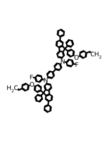 C=Cc1ccc(Oc2ccc(C3(c4ccccc4)c4cc(-c5ccccc5)ccc4-c4ccc(N(c5ccc(F)cc5)c5ccc(-c6ccc(N(c7ccc(F)cc7)c7ccc8c(c7)C(c7ccccc7)(c7ccc(Oc9ccc(C=C)cc9)cc7)c7cc(-c9ccccc9)ccc7-8)cc6)cc5)cc43)cc2)cc1